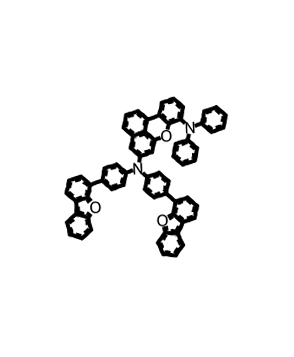 c1ccc(N(c2ccccc2)c2cccc3c2Oc2cc(N(c4ccc(-c5cccc6c5oc5ccccc56)cc4)c4ccc(-c5cccc6c5oc5ccccc56)cc4)cc4cccc-3c24)cc1